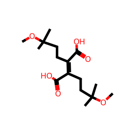 COC(C)(C)CCC(C(=O)O)=C(CCC(C)(C)OC)C(=O)O